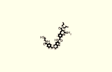 CCCN(CCC)C(=O)C1=Cc2ccc(C(=O)Nc3cnc4c(c3)CN(Cc3ccc(C(=O)NCCS)cc3)CC4)cc2N=C(N)C1